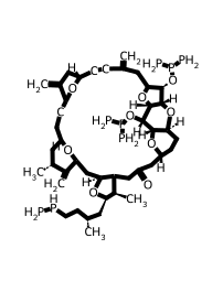 C=C1CC[C@H]2CC(=C)C(CC[C@H]3C[C@@H](C)C(=C)C(C[C@@H]4O[C@H](C[C@H](C)CCPP)[C@H](C)C4CC(=O)C[C@H]4CC[C@@H]5O[C@@H]6[C@@H](OC(C1)[C@@H]6OP(P)P)[C@@H](OP(P)P)[C@H]5O4)O3)O2